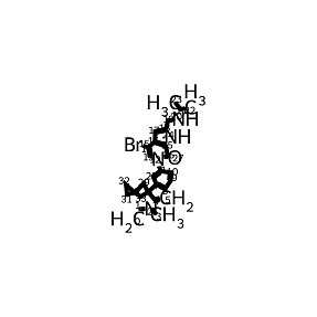 C=CN(C)C(=C)C1(c2cccc(-n3cc(Br)c4cc(CNC(C)C)[nH]c4c3=O)c2)CC2(CC2)C1